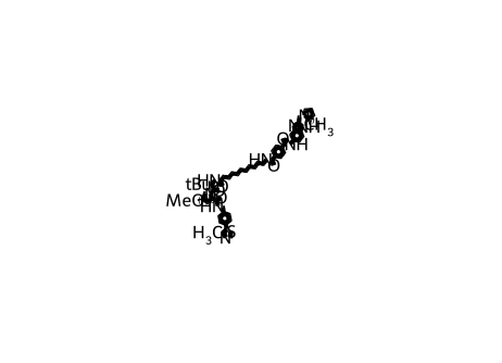 CO[C@@H]1C[C@@H](C(=O)NCc2ccc(-c3scnc3C)cc2)N(C(=O)[C@@H](NC(=O)CCCCCCCCCCNC(=O)c2ccc(C(=O)Nc3ccc4[nH]c(CN5CCC[C@@H]5C)nc4c3)cc2)C(C)(C)C)C1